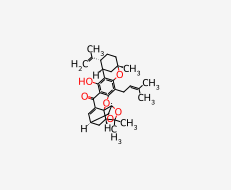 C=C(C)[C@@H]1CC[C@@]2(C)C[C@@H]1c1c(O)c3c(c(CC=C(C)C)c1O2)O[C@@]12[C]4OC(C)(C)[C@@H]1C[C@@H](C=C2C3=O)C4=O